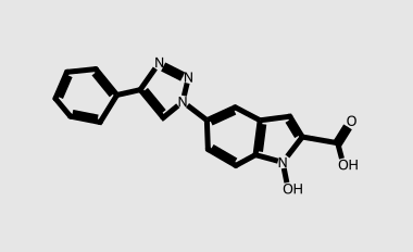 O=C(O)c1cc2cc(-n3cc(-c4ccccc4)nn3)ccc2n1O